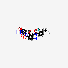 O=C1CCC(N2C(=O)c3cccc(CNC(=O)c4cccc(C(F)(F)F)c4F)c3C2=O)C(=O)N1